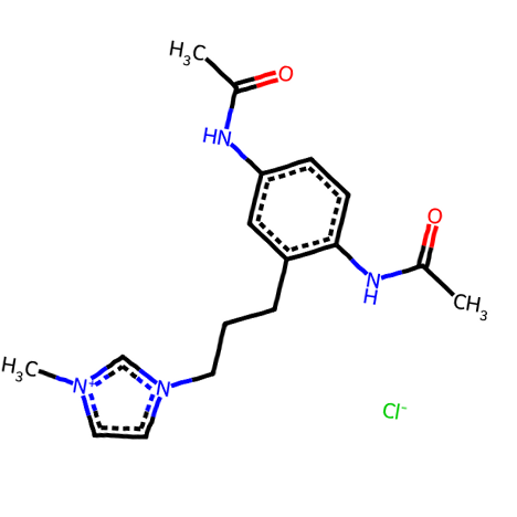 CC(=O)Nc1ccc(NC(C)=O)c(CCCn2cc[n+](C)c2)c1.[Cl-]